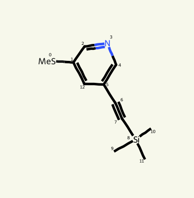 CSc1cncc(C#C[Si](C)(C)C)c1